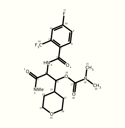 CNC(=O)C(NC(=O)c1ccc(F)cc1C(F)(F)F)C(OC(=O)N(C)C)C1CCOCC1